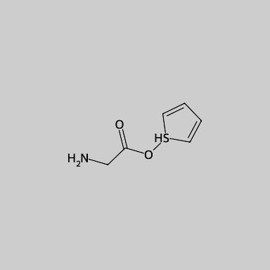 NCC(=O)O[SH]1C=CC=C1